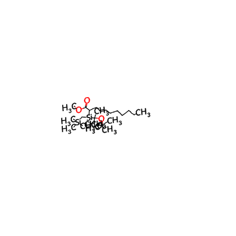 CCCCCCCCCC(C(=O)OC)[Si](C)(C[Si](C)(C)C)C(C)(C)O[Si](C)(C)C